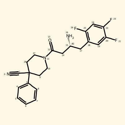 N#CC1(c2ccccc2)CCN(C(=O)C[C@H](N)Cc2cc(F)c(F)cc2F)CC1